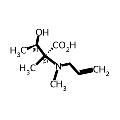 C=CCN(C)[C@](C)(C(=O)O)[C@@H](C)O